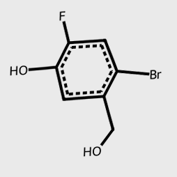 OCc1cc(O)c(F)cc1Br